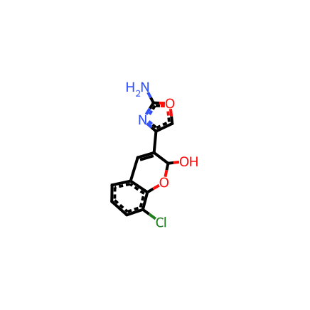 Nc1nc(C2=Cc3cccc(Cl)c3OC2O)co1